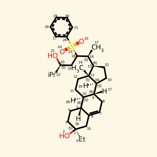 CC[C@]1(O)CC[C@H]2C(=CC[C@@H]3[C@@H]2CC[C@]2(C)[C@@H]([C@H](C)C(C[C@H](O)C(C)C)S(=O)(=O)c4ccccc4)CC[C@@H]32)C1